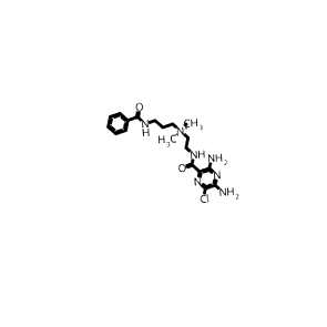 C[N+](C)(CCCNC(=O)c1ccccc1)CCNC(=O)c1nc(Cl)c(N)nc1N